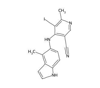 Cc1ncc(C#N)c(Nc2ccc3[nH]ccc3c2C)c1I